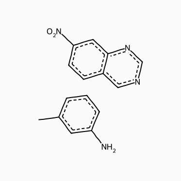 Cc1cccc(N)c1.O=[N+]([O-])c1ccc2cncnc2c1